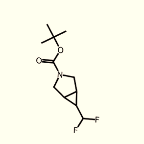 CC(C)(C)OC(=O)N1CC2C(C1)C2C(F)F